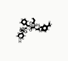 CCC(=O)N[C@@H](Cc1nc2ccc(C(C)C)cc2s1)C(=O)N[C@H](CNS(=O)(=O)C1CCNCC1)C1CCCCC1